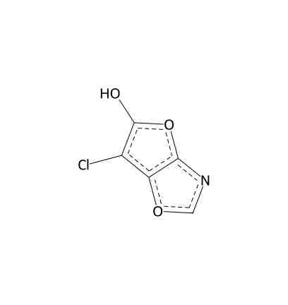 Oc1oc2ncoc2c1Cl